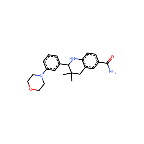 CC1(C)Cc2cc(C(N)=O)ccc2NC1c1cccc(N2CCOCC2)c1